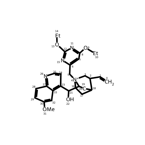 C=CC1C[N+]2(Cc3cc(OCC)nc(OCC)n3)CCC1CC2C(O)c1ccnc2ccc(OC)cc12